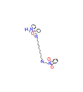 CN(CCCCCCCCCCCN1CCC(C(C(N)=O)(C2=CC=CCC2)c2ccccc2)C1)CCCN1C(=O)c2ccccc2C1=O